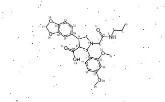 CCCNC(=O)CN1CC(c2ccc3c(c2)OCO3)C(C(=O)O)C1c1ccc(OC)cc1OC